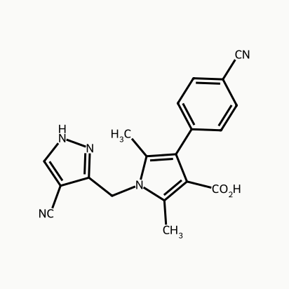 Cc1c(C(=O)O)c(-c2ccc(C#N)cc2)c(C)n1Cc1n[nH]cc1C#N